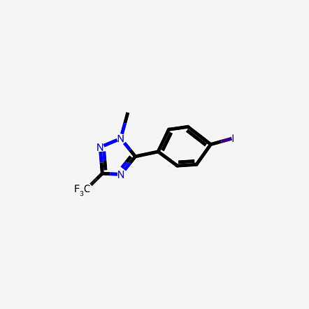 Cn1nc(C(F)(F)F)nc1-c1ccc(I)cc1